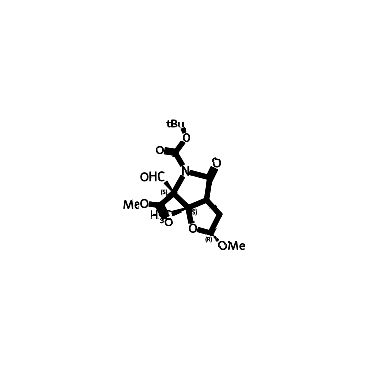 COC(=O)[C@]1(C=O)N(C(=O)OC(C)(C)C)C(=O)C2C[C@H](OC)O[C@@]21C